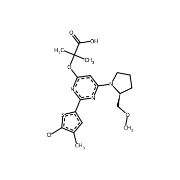 COC[C@@H]1CCCN1c1cc(OC(C)(C)C(=O)O)nc(-c2cc(C)c(Cl)s2)n1